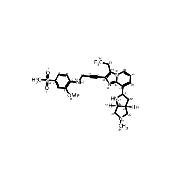 COc1cc(S(C)(=O)=O)ccc1NCC#Cc1nc2c([C@H]3C[C@@H]4CN(C)C[C@@H]4N3)cccn2c1CC(F)(F)F